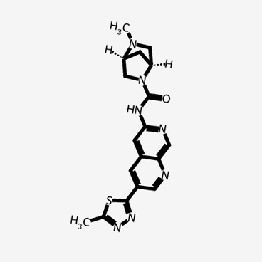 Cc1nnc(-c2cnc3cnc(NC(=O)N4C[C@@H]5C[C@H]4CN5C)cc3c2)s1